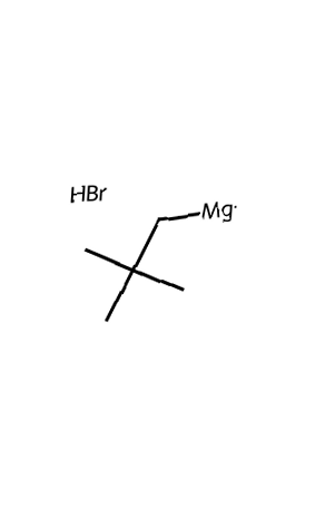 Br.CC(C)(C)[CH2][Mg]